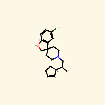 C[C@H](CN1CCC2(CC1)COc1ccc(F)cc12)[C@H]1C=CCC1